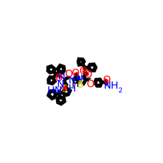 NC(=O)c1ccc(OCC2=C(C(=O)OC(c3ccccc3)c3ccccc3)N3C(=O)C(NC(=O)/C(=N/OC(c4ccccc4)(c4ccccc4)c4ccccc4)c4csc(NC(c5ccccc5)(c5ccccc5)c5ccccc5)n4)[C@H]3SC2)cc1